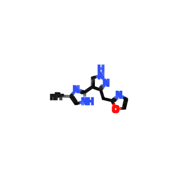 CCCc1c[nH]c(-c2c[nH]nc2Cc2ncco2)n1